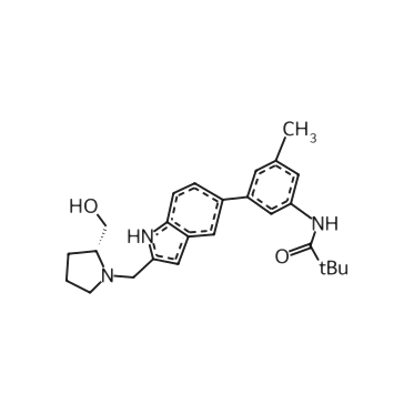 Cc1cc(NC(=O)C(C)(C)C)cc(-c2ccc3[nH]c(CN4CCC[C@@H]4CO)cc3c2)c1